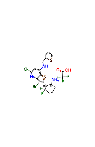 N[C@@H]1CCCC(F)(F)[C@@H]1c1sc2c(NCc3cccs3)cc(Cl)nc2c1Br.O=C(O)C(F)(F)F